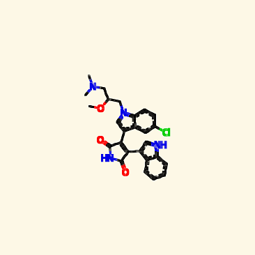 COC(CN(C)C)Cn1cc(C2=C(c3c[nH]c4ccccc34)C(=O)NC2=O)c2cc(Cl)ccc21